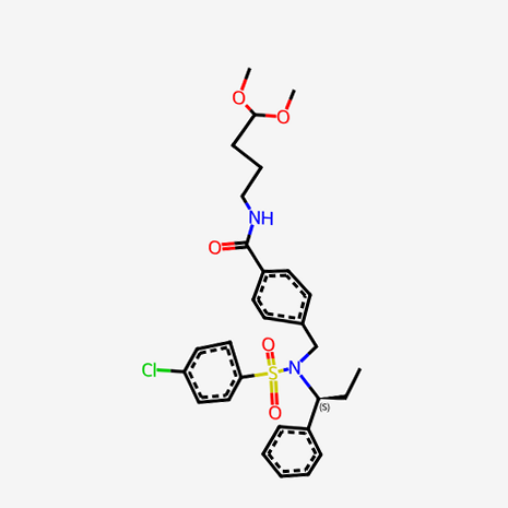 CC[C@@H](c1ccccc1)N(Cc1ccc(C(=O)NCCCC(OC)OC)cc1)S(=O)(=O)c1ccc(Cl)cc1